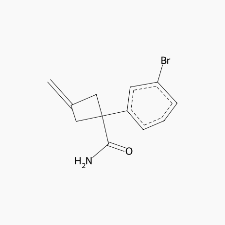 C=C1CC(C(N)=O)(c2cccc(Br)c2)C1